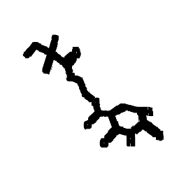 CCC(C)(C)C(=O)OCCOC(=O)c1c[nH]c(=S)[nH]c1=O